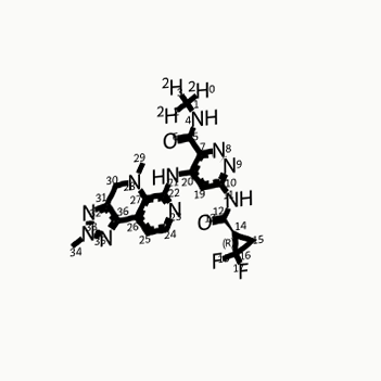 [2H]C([2H])([2H])NC(=O)c1nnc(NC(=O)[C@H]2CC2(F)F)cc1Nc1nccc2c1N(C)Cc1nn(C)nc1-2